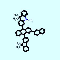 CN1c2ccccc2C(C)(C)c2ccc(-c3c4ccccc4c(-c4ccc5c(c4)C(C)(C)c4ccccc4-5)c4cc(-c5ccc6ccccc6c5)ccc34)cc21